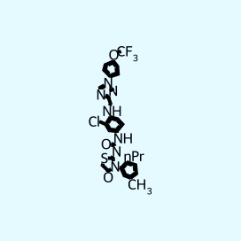 CCCc1ccc(C)cc1N1C(=O)CS/C1=N\C(=O)Nc1ccc(NCc2ncn(-c3ccc(OC(F)(F)F)cc3)n2)c(Cl)c1